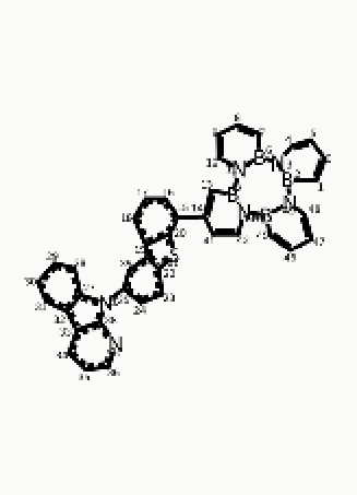 C1=CB2N(C=C1)B1C=CC=CN1B1C=C(c3cccc4c3sc3ccc(-n5c6ccccc6c6cccnc65)cc34)C=CN1B1C=CC=CN21